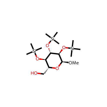 CO[C@H]1O[C@H](CO)[C@@H](O[Si](C)(C)C)[C@H](O[Si](C)(C)C)[C@H]1O[Si](C)(C)C